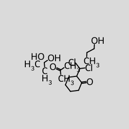 CC(C)=O.CCCO.CCO.CO.O=C1CCCCC1C(Cl)Cl